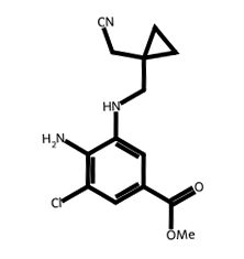 COC(=O)c1cc(Cl)c(N)c(NCC2(CC#N)CC2)c1